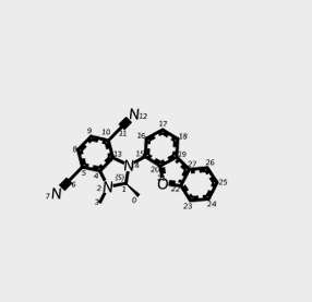 C[C@H]1N(C)c2c(C#N)ccc(C#N)c2N1c1cccc2c1oc1ccccc12